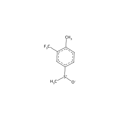 Cc1ccc([S+](C)[O-])cc1C(F)(F)F